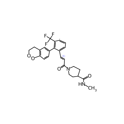 CNC(=O)C1CCN(C(=O)/C=C/c2cc[c]c(C(F)(F)F)c2-c2ccc3c(c2)CCOO3)CC1